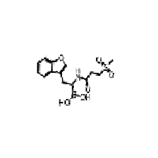 CS(=O)(=O)CCC(=O)NC(Cc1coc2ccccc12)B(O)O